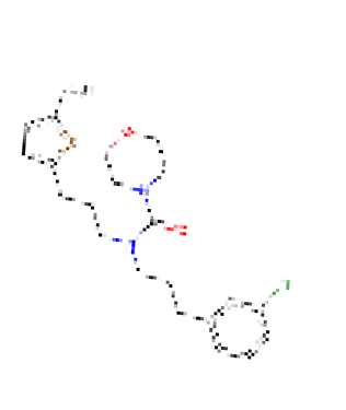 O=C(O)c1ccc(CCCN(CCCc2cccc(Cl)c2)C(=O)N2CCOCC2)s1